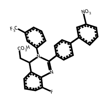 O=C(O)CC1c2cccc(F)c2N=C(c2ccc(-c3cccc([N+](=O)[O-])c3)cc2)N1c1cccc(C(F)(F)F)c1